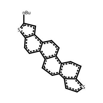 CCCCc1cc2c(ccc3c2ccc2c4ccc5sccc5c4ccc32)s1